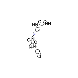 O=C1Nc2cc(/C=C/CNC(=O)c3cncn(Cc4ccc(Cl)nc4)c3=O)ccc2C1=Cc1ccc[nH]1